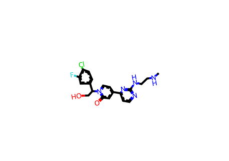 CNCCNc1nccc(-c2ccn(C(CO)c3ccc(Cl)c(F)c3)c(=O)c2)n1